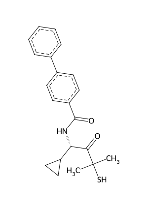 CC(C)(S)C(=O)[C@@H](NC(=O)c1ccc(-c2ccccc2)cc1)C1CC1